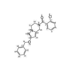 O=C(c1ccccc1Cl)N1CCn2nc(OCc3ccccc3)cc2C1